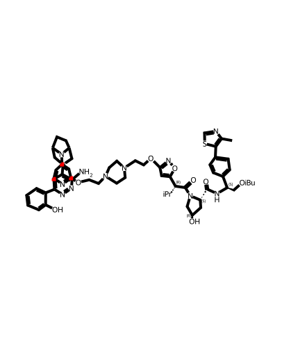 Cc1ncsc1-c1ccc([C@@H](COCC(C)C)NC(=O)[C@@H]2C[C@@H](O)CN2C(=O)[C@@H](c2cc(OCCN3CCN(CCOc4cc(N5C6CCC5CN(c5cc(-c7ccccc7O)nnc5N)C6)ccn4)CC3)no2)C(C)C)cc1